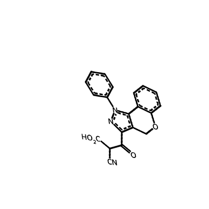 N#CC(C(=O)O)C(=O)c1nn(-c2ccccc2)c2c1COc1ccccc1-2